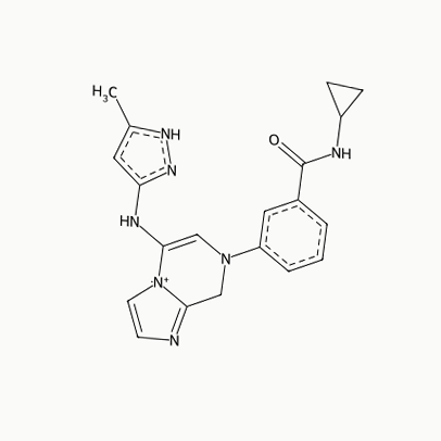 Cc1cc(NC2=CN(c3cccc(C(=O)NC4CC4)c3)CC3=NC=C[N+]23)n[nH]1